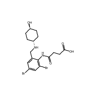 O=C(O)CCC(=O)Nc1c(Br)cc(Br)cc1CN[C@H]1CC[C@H](O)CC1